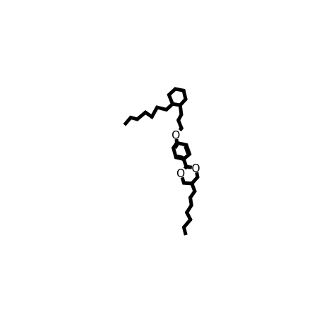 CCCCCCCC1COC(c2ccc(OCCCC3CCCCC3CCCCCCC)cc2)OC1